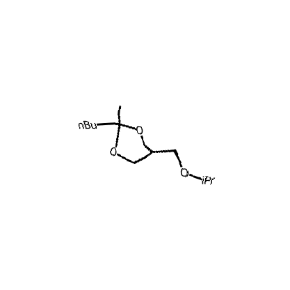 CCCCC1(C)OCC(COC(C)C)O1